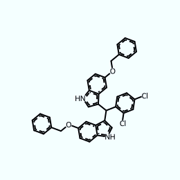 Clc1ccc(C(c2c[nH]c3ccc(OCc4ccccc4)cc23)c2c[nH]c3ccc(OCc4ccccc4)cc23)c(Cl)c1